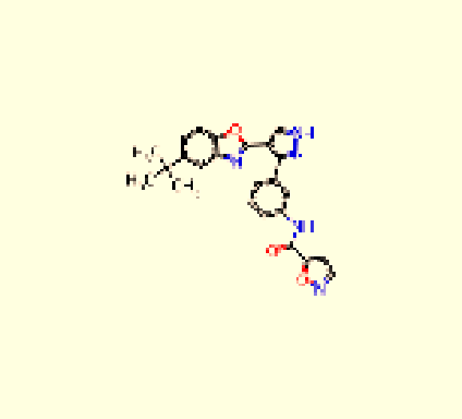 CC(C)(C)c1ccc2oc(-c3c[nH]nc3-c3cccc(NC(=O)c4ccno4)c3)nc2c1